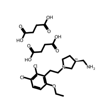 CCOc1ccc(Cl)c(Cl)c1CCN1CC[C@@H](CN)C1.O=C(O)CCC(=O)O.O=C(O)CCC(=O)O